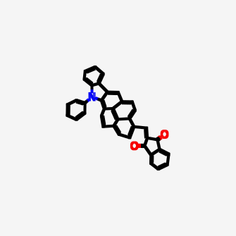 O=C1C(=Cc2ccc3ccc4c5c(ccc2c35)cc2c3ccccc3n(-c3ccccc3)c24)C(=O)c2ccccc21